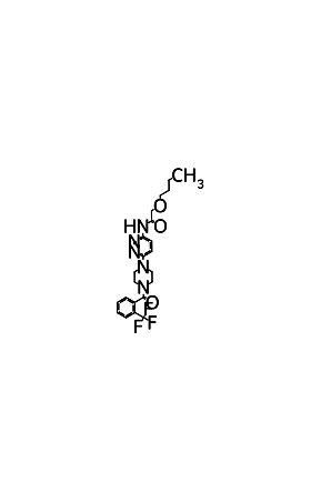 CCCCOCC(=O)Nc1ccc(N2CCN(C(=O)c3ccccc3C(F)(F)F)CC2)nn1